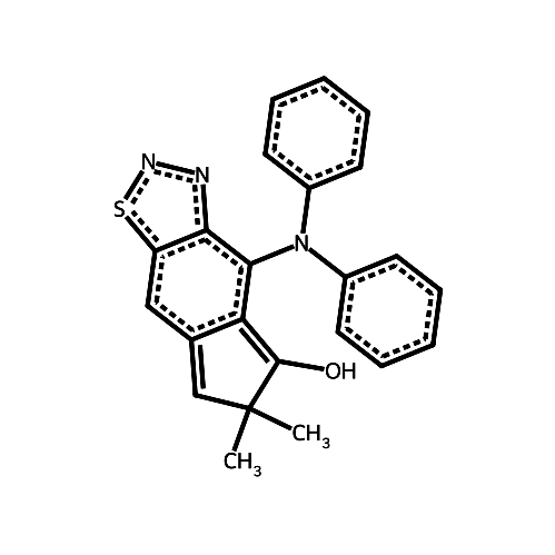 CC1(C)C=c2cc3snnc3c(N(c3ccccc3)c3ccccc3)c2=C1O